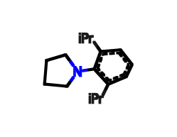 CC(C)c1cccc(C(C)C)c1N1CCCC1